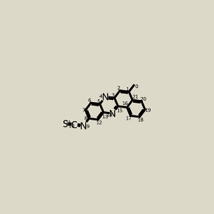 Cc1cc2nc3ccc(N=C=S)cc3nc2c2ccccc12